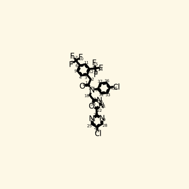 O=C(Cc1ccc(C(F)(F)F)cc1C(F)(F)F)N(Cc1nnc(-c2ncc(Cl)cn2)o1)c1ccc(Cl)cc1